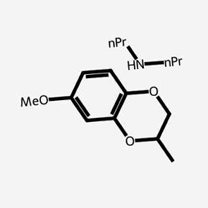 CCCNCCC.COc1ccc2c(c1)OC(C)CO2